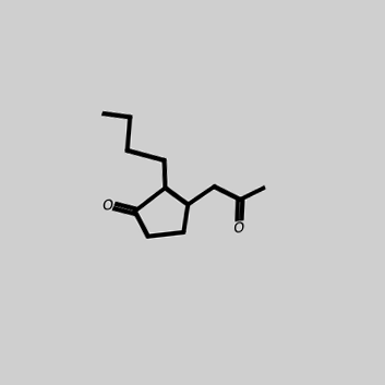 CCCCC1C(=O)CCC1CC(C)=O